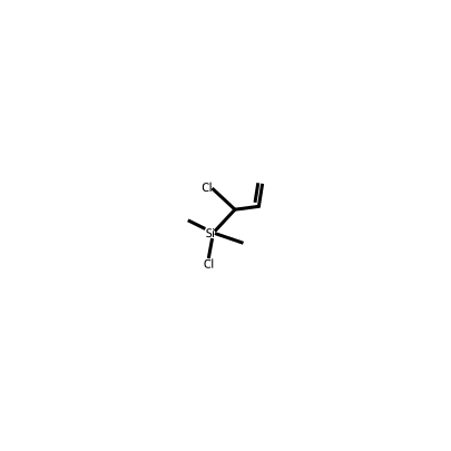 C=CC(Cl)[Si](C)(C)Cl